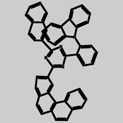 c1ccc(-n2c3ccccc3c3ccccc32)c(-c2nc(-c3ccc4ccccc4c3)nc(-c3ccc4ccc5ccc6ccccc6c5c4c3)n2)c1